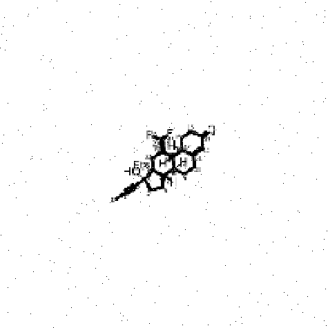 CC#C[C@]1(O)CC[C@H]2[C@@H]3CCC4=CC(=O)CC[C@@H]4[C@H]3C(=C(F)F)C[C@@]21CC